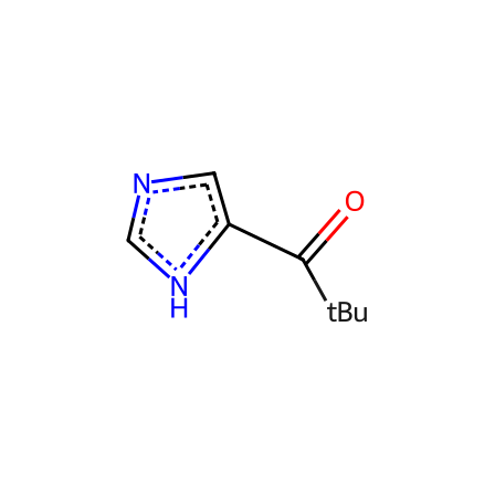 CC(C)(C)C(=O)c1cnc[nH]1